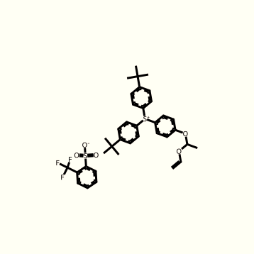 C=COC(C)Oc1ccc([S+](c2ccc(C(C)(C)C)cc2)c2ccc(C(C)(C)C)cc2)cc1.O=S(=O)([O-])c1ccccc1C(F)(F)F